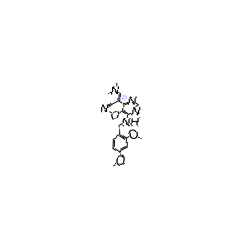 COc1ccc(CNc2ncnc(/C(C#N)=C/N(C)C)c2OC)c(OC)c1